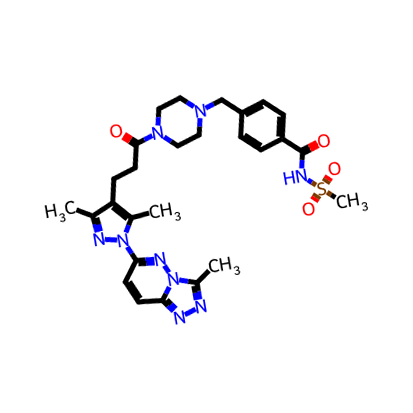 Cc1nn(-c2ccc3nnc(C)n3n2)c(C)c1CCC(=O)N1CCN(Cc2ccc(C(=O)NS(C)(=O)=O)cc2)CC1